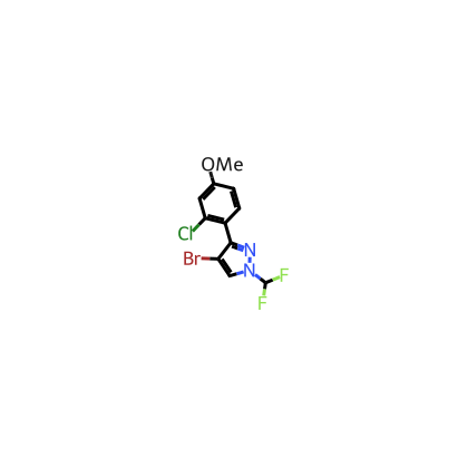 COc1ccc(-c2nn(C(F)F)cc2Br)c(Cl)c1